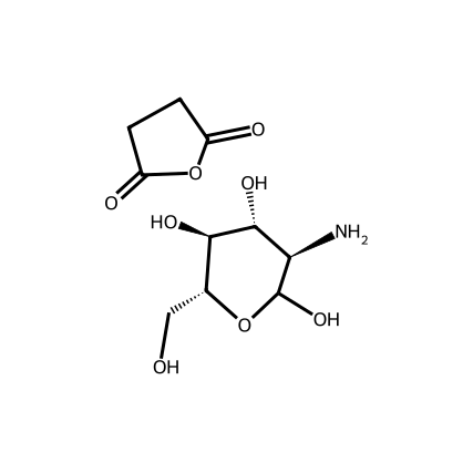 N[C@H]1C(O)O[C@H](CO)[C@@H](O)[C@@H]1O.O=C1CCC(=O)O1